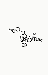 CCOc1cccc(-c2ccc(CC(NS(=O)(=O)c3ccccn3)c3cccc(NOC(C)=O)n3)cc2)c1